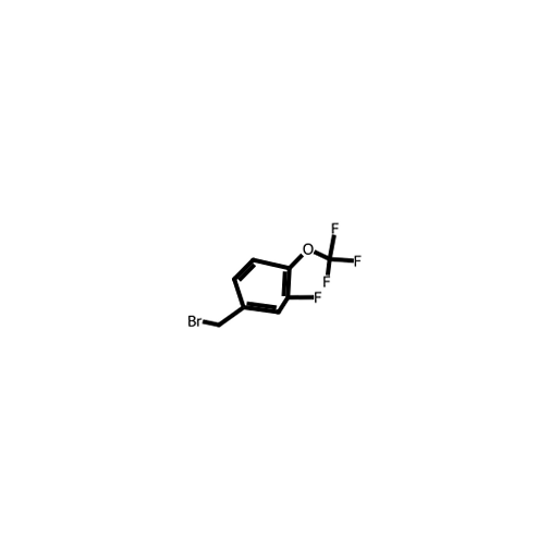 Fc1cc(CBr)ccc1OC(F)(F)F